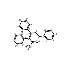 NC(=O)C(=C(CCc1ccccc1)c1ccccc1)c1ccccc1